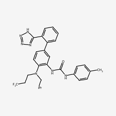 Cc1ccc(NC(=O)Nc2cc(-c3ccccc3-c3nnn[nH]3)ccc2N(CCC(F)(F)F)CC(C)C)cc1